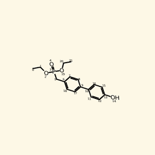 CCOP(=O)(Cc1ccc(-c2ccc(O)cc2)cc1)OCC